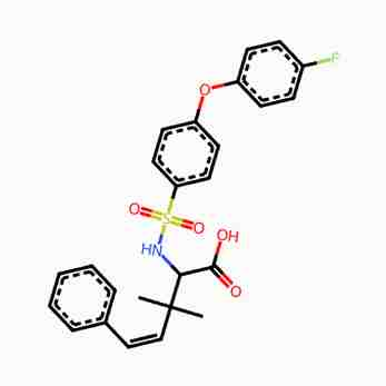 CC(C)(/C=C\c1ccccc1)C(NS(=O)(=O)c1ccc(Oc2ccc(F)cc2)cc1)C(=O)O